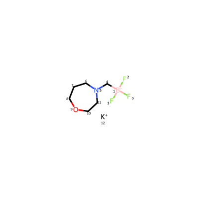 F[B-](F)(F)CN1CCCOCC1.[K+]